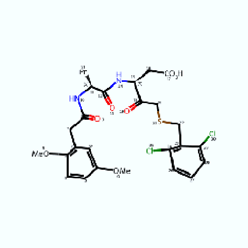 COc1ccc(OC)c(CC(=O)N[C@H](C(=O)N[C@@H](CC(=O)O)C(=O)CSCc2c(Cl)cccc2Cl)C(C)C)c1